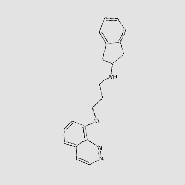 c1ccc2c(c1)CC(NCCCOc1cccc3ccnnc13)C2